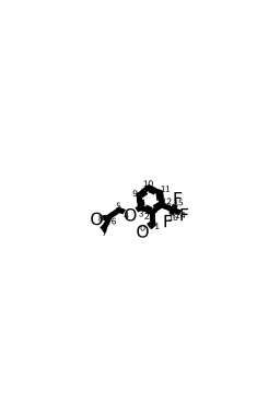 O=Cc1c(OCC2CO2)cccc1C(F)(F)F